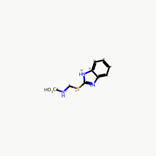 O=C(O)NCSc1nc2ccccc2[nH]1